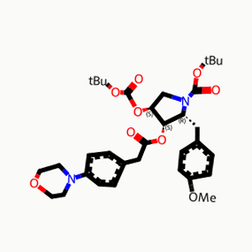 COc1ccc(C[C@@H]2[C@H](OC(=O)Cc3ccc(N4CCOCC4)cc3)[C@@H](OC(=O)OC(C)(C)C)CN2C(=O)OC(C)(C)C)cc1